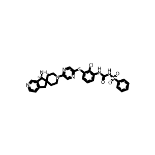 N[C@@H]1c2cnccc2CC12CCN(c1cnc(Sc3cccc(NC(=O)NS(=O)(=O)c4ccccc4)c3Cl)cn1)CC2